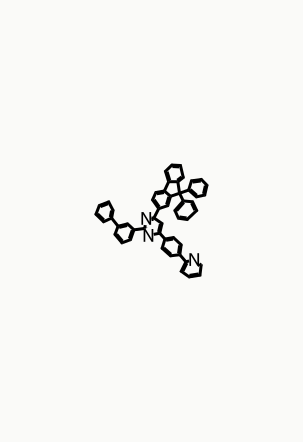 c1ccc(-c2cccc(-c3nc(-c4ccc(-c5ccccn5)cc4)cc(-c4ccc5c(c4)C(c4ccccc4)(c4ccccc4)c4ccccc4-5)n3)c2)cc1